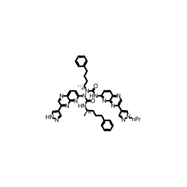 CCCn1cc(-c2cnc3ccc(NC(=O)N([C@H](C)CCCc4ccccc4)N(C(=O)N[C@H](C)CCCc4ccccc4)c4ccc5ncc(-c6cn[nH]c6)nc5n4)nc3n2)cn1